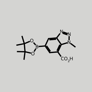 Cn1nnc2cc(B3OC(C)(C)C(C)(C)O3)cc(C(=O)O)c21